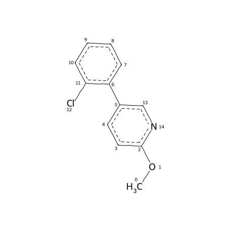 COc1ccc(-c2ccccc2Cl)cn1